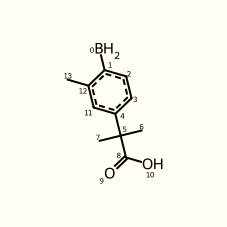 Bc1ccc(C(C)(C)C(=O)O)cc1C